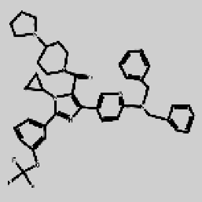 O=C(c1c(-c2ccc(N(Cc3ccccc3)Cc3ccccc3)nc2)nc(-c2cccc(OC(F)(F)F)c2)n1C1CC1)N1CCC(N2CCCC2)CC1